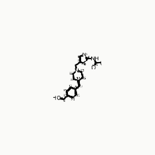 CC(=O)Nc1ncc(CN2CCC(=Cc3ccc(CO)cc3)CC2)s1